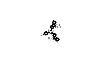 CC1(C)c2ccccc2-c2ccc(-c3nc(-c4ccc(Cl)cc4)nc(-c4ccc5c(c4)C(C)(C)c4ccccc4-5)n3)cc21